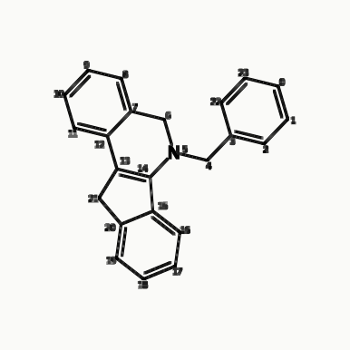 c1ccc(CN2Cc3ccccc3C3=C2c2ccccc2C3)cc1